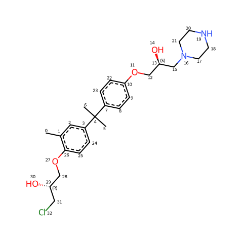 Cc1cc(C(C)(C)c2ccc(OC[C@@H](O)CN3CCNCC3)cc2)ccc1OC[C@@H](O)CCl